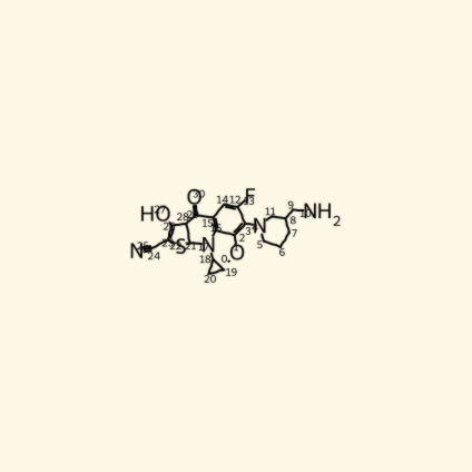 COc1c(N2CCCC(CN)C2)c(F)cc2c1N(C1CC1)C1SC(C#N)=C(O)C1C2=O